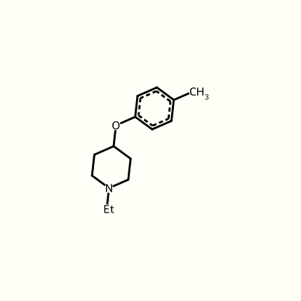 CCN1CCC(Oc2ccc(C)cc2)CC1